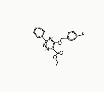 CCOC(=O)c1nnc(-c2ccccc2)nc1OCc1ccc(F)cc1